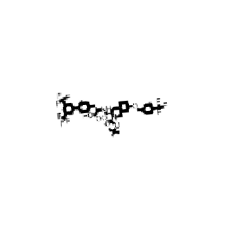 CC(C)(C)OC(=O)N1Cc2cc(OCc3ccc(C(F)(F)F)cc3)ccc2C[C@H]1C(=O)N[C@@H](Cc1ccc(-c2cc(C(F)(F)F)cc(C(F)(F)F)c2)cc1)C(=O)O